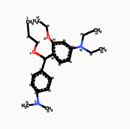 CCCOC(c1ccc(N(C)C)cc1)c1ccc(N(CC)CC)cc1OCC